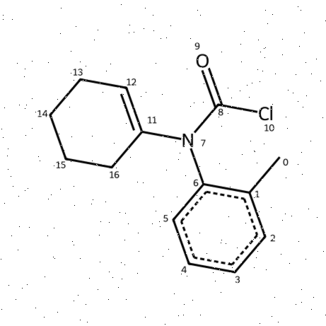 Cc1ccccc1N(C(=O)Cl)C1=CCCCC1